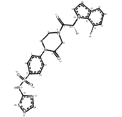 C[C@H](C(=O)N1CCN(c2ccc(S(=O)(=O)Nc3ncns3)cc2)C(=O)C1)n1ccc2cccc(F)c21